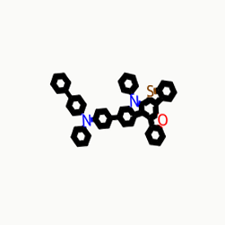 c1ccc(-c2ccc(N(c3ccccc3)c3ccc(-c4ccc5c6c7c8ccccc8oc7c7c8ccccc8sc7c6n(-c6ccccc6)c5c4)cc3)cc2)cc1